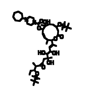 CC[C@H](O[Si](C)(C)C(C)(C)C)[C@@H](C)[C@H]1O[C@@H]1C[C@@](C)(O)C(O)C(O)C=C(C)C1OC(=O)CC(O[Si](C)(C)C(C)(C)C)CCC(C)(O)C(OC(=O)N2CCN(C3CCCCCC3)CC2)C=CC1C